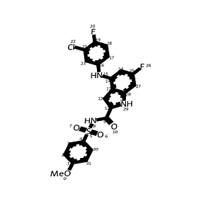 COc1ccc(S(=O)(=O)NC(=O)c2cc3c(Nc4ccc(F)c(Cl)c4)cc(F)cc3[nH]2)cc1